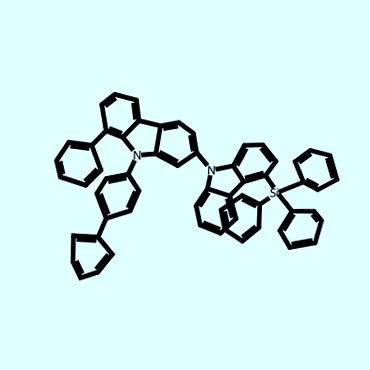 c1ccc(-c2ccc(-n3c4cc(-n5c6ccccc6c6c([Si](c7ccccc7)(c7ccccc7)c7ccccc7)cccc65)ccc4c4cccc(-c5ccccc5)c43)cc2)cc1